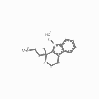 CCn1c2c(c3ccccc31)CCSC2(C)CCNC.Cl